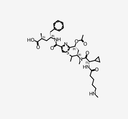 CNCCCCC(=O)N[C@H](C(=O)N(C)[C@H](C[C@@H](OC(C)=O)c1nc(C(=O)N[C@@H](Cc2ccccc2)C[C@H](C)C(=O)O)cs1)C(C)C)C1CC1